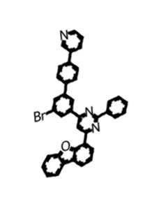 Brc1cc(-c2ccc(-c3cccnc3)cc2)cc(-c2cc(-c3cccc4c3oc3ccccc34)nc(-c3ccccc3)n2)c1